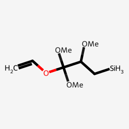 C=COC(OC)(OC)C(C[SiH3])OC